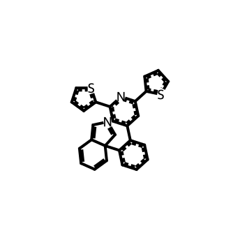 C1=CC2=CN=CC2(c2ccccc2-c2cc(-c3cccs3)nc(-c3cccs3)c2)C=C1